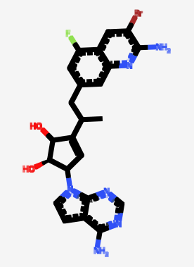 CC(Cc1cc(F)c2cc(Br)c(N)nc2c1)C1=CC(n2ccc3c(N)ncnc32)[C@@H](O)C1O